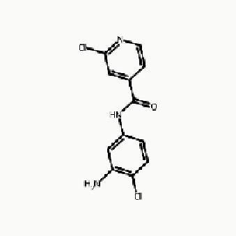 Nc1cc(NC(=O)c2ccnc(Cl)c2)ccc1Cl